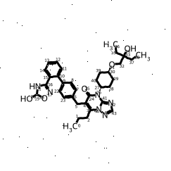 CCCc1c(Cc2ccc(-c3ccccc3C3=NOC(O)N3)cc2)c(=O)n([C@H]2CC[C@H](OCC(O)(CC)CC)CC2)c2ncnn12